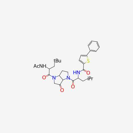 CC(=O)NC(CC(C)(C)C)C(=O)N1CC(=O)C2C1CCN2C(=O)C(CC(C)C)NC(=O)c1ccc(-c2ccccc2)s1